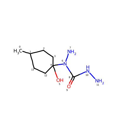 CC1CCC(O)(N(N)C(=O)NN)CC1